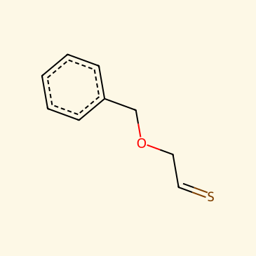 S=CCOCc1ccccc1